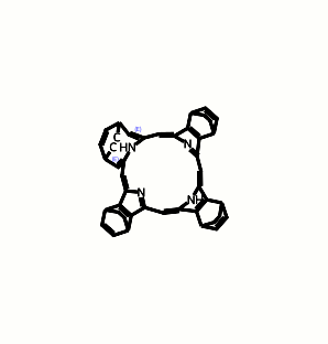 C1=CC2/C=c3\cc4nc(cc5[nH]c(cc6nc(c/c([nH]3)=C\C1CC2)C1=C6C2C=CC1CC2)c1c5C2C=CC1CC2)C1=C4C2C=CC1CC2